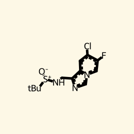 CC(C)(C)[S+]([O-])NCc1ncn2cc(F)c(Cl)cc12